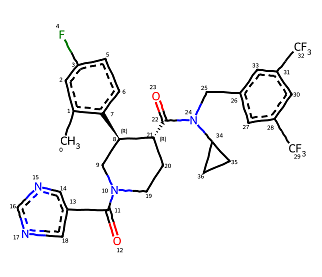 Cc1cc(F)ccc1[C@@H]1CN(C(=O)c2cncnc2)CC[C@H]1C(=O)N(Cc1cc(C(F)(F)F)cc(C(F)(F)F)c1)C1CC1